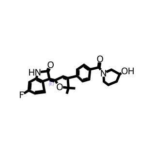 CC1(C)O/C(=C2/C(=O)Nc3cc(F)ccc32)C=C1c1ccc(C(=O)N2CCCC(O)C2)cc1